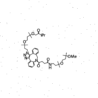 COC(C)(C)CCOC(C)(C)CCNC(=O)CCC(=O)N1Cc2ccccc2-c2c(nnn2CCC(C)(C)OCCC(C)(C)OCC(=O)C(C)C)-c2ccccc21